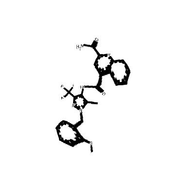 COc1ccccc1Cn1nc(C(F)(F)F)c(NC(=O)c2cc(C(N)=O)nc3ccccc23)c1C